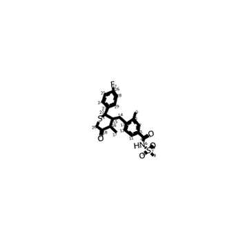 Cc1cc(C(=O)NS(C)(=O)=O)ccc1CC1C(C)C(=O)CSC1c1ccc(F)cc1